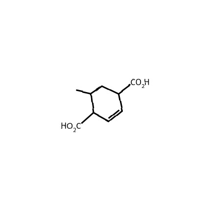 CC1CC(C(=O)O)C=CC1C(=O)O